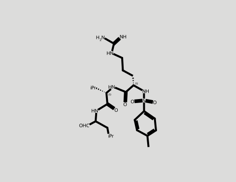 Cc1ccc(S(=O)(=O)N[C@@H](CCCNC(=N)N)C(=O)N[C@H](C(=O)NC(C=O)CC(C)C)C(C)C)cc1